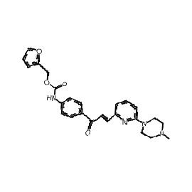 CN1CCN(c2cccc(C=CC(=O)c3ccc(NC(=O)OCc4ccco4)cc3)n2)CC1